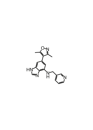 Cc1noc(C)c1-c1cc(NCc2cccnc2)c2nc[nH]c2c1